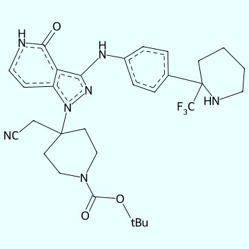 CC(C)(C)OC(=O)N1CCC(CC#N)(n2nc(Nc3ccc(C4(C(F)(F)F)CCCCN4)cc3)c3c(=O)[nH]ccc32)CC1